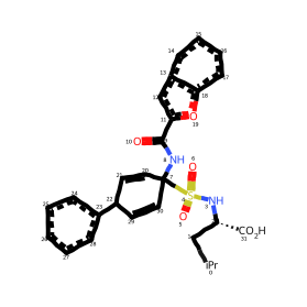 CC(C)C[C@H](NS(=O)(=O)C1(NC(=O)c2cc3ccccc3o2)C=CC(c2ccccc2)C=C1)C(=O)O